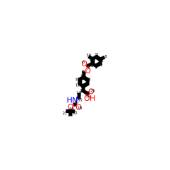 Cc1ccc(C(=O)OCc2ccc([C@@H](CCNC(=O)OC(C)(C)C)C(=O)O)cc2)c(C)c1